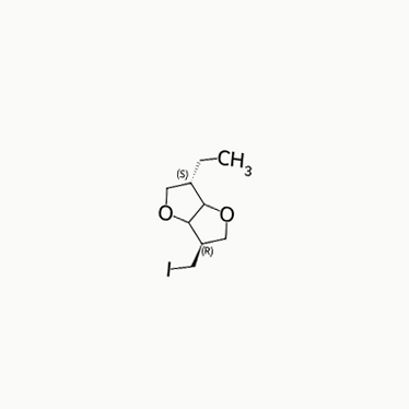 CC[C@H]1COC2C1OC[C@H]2CI